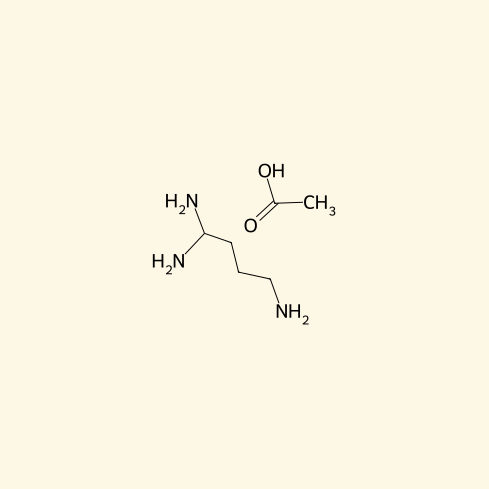 CC(=O)O.NCCCC(N)N